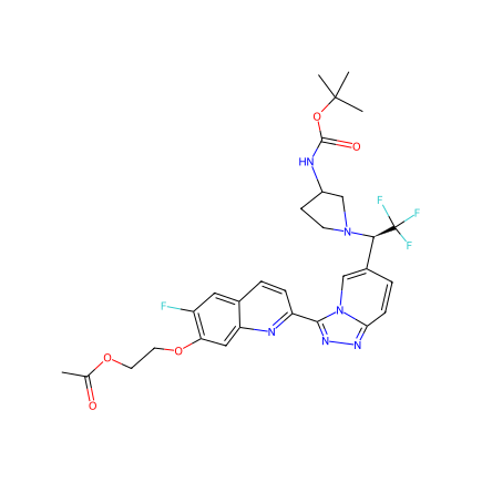 CC(=O)OCCOc1cc2nc(-c3nnc4ccc([C@@H](N5CCC(NC(=O)OC(C)(C)C)C5)C(F)(F)F)cn34)ccc2cc1F